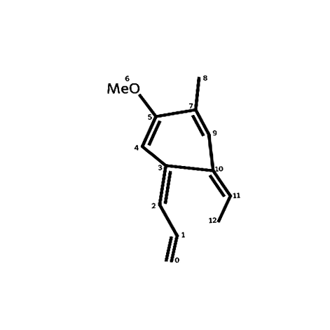 C=C/C=c1/cc(OC)c(C)c/c1=C/C